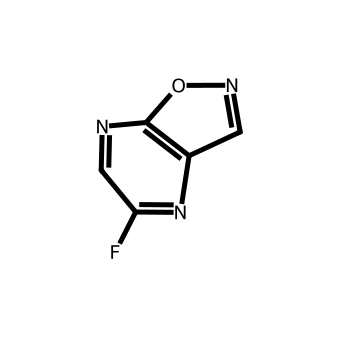 Fc1cnc2oncc2n1